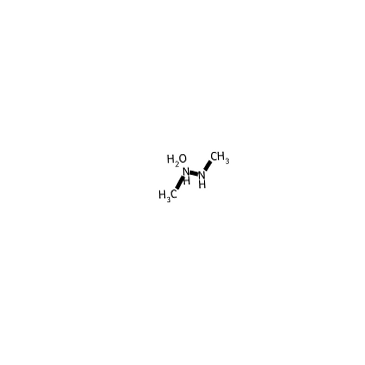 CNNC.O